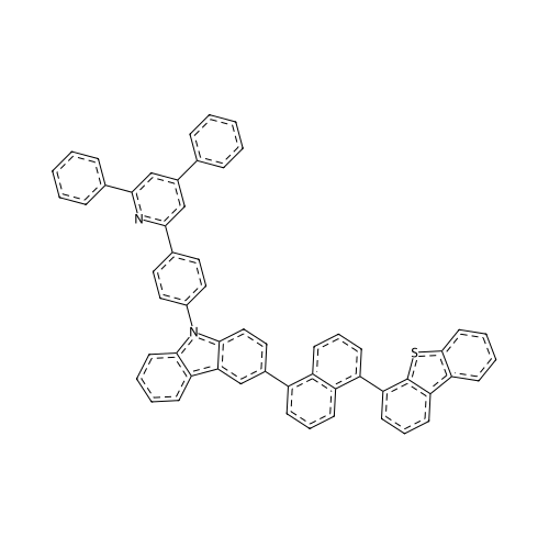 c1ccc(-c2cc(-c3ccccc3)nc(-c3ccc(-n4c5ccccc5c5cc(-c6cccc7c(-c8cccc9c8sc8ccccc89)cccc67)ccc54)cc3)c2)cc1